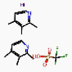 Cc1ccnc(C)c1C.Cc1ccnc(C)c1C.I.O=S(=O)(O)C(F)(F)F